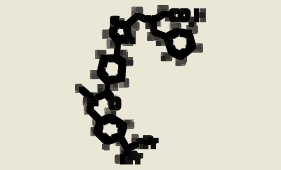 CCCC(CCC)c1ccc(CN(C)C(=O)c2ccc(-c3csc(CN(CC(=O)O)Cc4ccccc4)n3)cc2)cc1